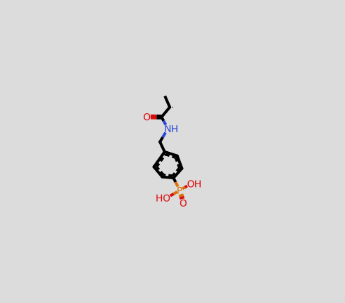 C[CH]C(=O)NCc1ccc(P(=O)(O)O)cc1